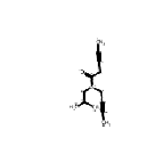 CC#CCC(=O)N(CC#CC)CC(C)C